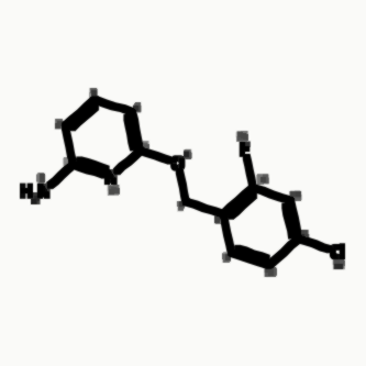 Nc1cccc(OCc2ccc(Cl)cc2F)n1